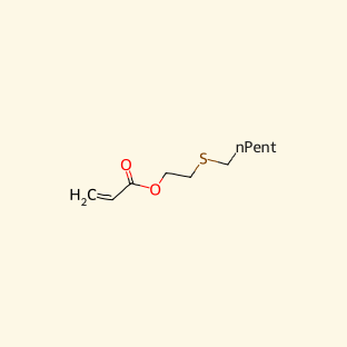 C=CC(=O)OCCSCCCCCC